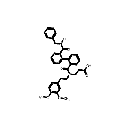 COc1ccc(CCN(CCC(=O)O)C(=O)c2ccccc2-c2ccccc2C(=O)N(C)Cc2ccccc2)cc1OC